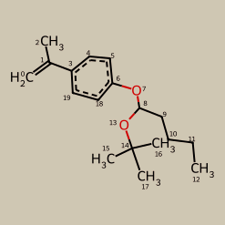 C=C(C)c1ccc(OC(CCCC)OC(C)(C)C)cc1